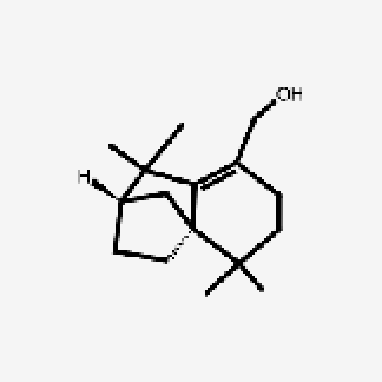 CC1(C)C2=C(CO)CCC(C)(C)[C@]23CC[C@H]1C3